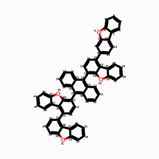 c1ccc2c(c1)oc1cc(-c3ccc(-c4c5ccccc5c(-c5ccc(-c6cccc7oc8ccccc8c67)c6c5oc5ccccc56)c5ccccc45)c4oc5ccccc5c34)ccc12